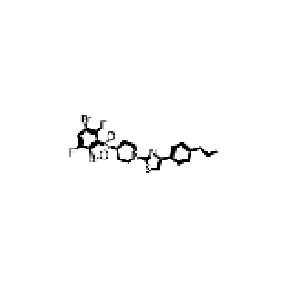 CCCc1ccc(-c2csc(N3CCC(S(=O)(=O)c4c(F)c(Br)cc(F)c4Br)CC3)n2)cc1